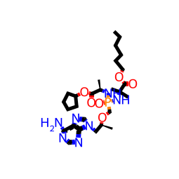 CCCCCCOC(=O)C(C)(C)NP(=O)(CO[C@@H](C)Cn1cnc2c(N)ncnc21)N[C@H](C)C(=O)OC1CCCC1